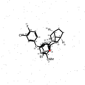 CCn1nc(N[C@H]2[C@@H]3CC[C@H]2CN(c2ccnc(OC)c2)C3)nc1Oc1ccc(F)c(Cl)c1